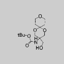 CC(C)(C)OC(=O)NC1(CO)COC2(CCOCC2)OC1